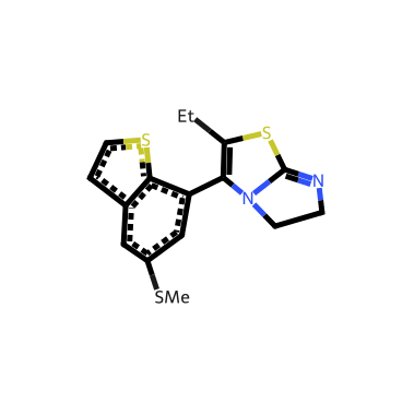 CCC1=C(c2cc(SC)cc3ccsc23)N2CCN=C2S1